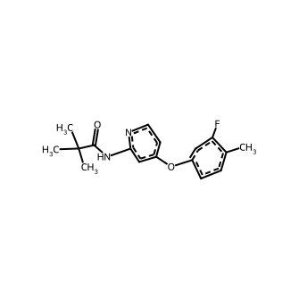 Cc1ccc(Oc2ccnc(NC(=O)C(C)(C)C)c2)cc1F